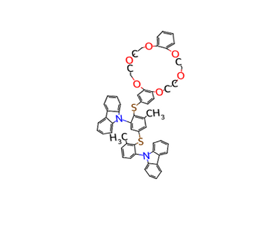 Cc1cccc(-n2c3ccccc3c3ccccc32)c1Sc1cc(C)c(Sc2ccc3c(c2)OCCOCCOc2ccccc2OCCOCCO3)c(-n2c3ccccc3c3ccccc32)c1